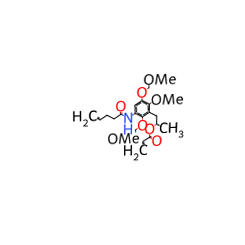 C=CCCC(=O)Nc1cc(OCOC)c(OC)c(CC(C)OC(=O)C=C)c1OCOC